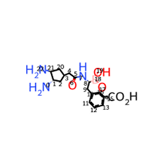 N[C@H]1CC(CC(=O)N[C@H]2Cc3cccc(C(=O)O)c3OB2O)C[C@@H]1N